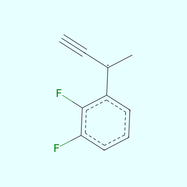 C#C[C](C)c1cccc(F)c1F